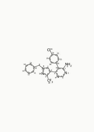 Nc1ncnc(-c2cn(Cc3ccccc3)nc2C(F)(F)F)c1-c1ccc(Cl)cc1